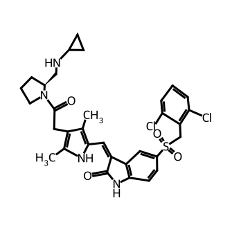 Cc1[nH]c(/C=C2\C(=O)Nc3ccc(S(=O)(=O)Cc4c(Cl)cccc4Cl)cc32)c(C)c1CC(=O)N1CCC[C@H]1CNC1CC1